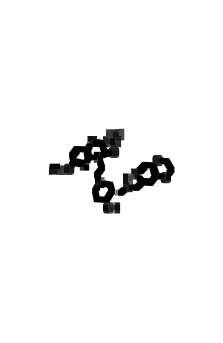 COc1ccc2ncc(=O)n(CCN3CC[C@@H](O)[C@@H](CNCc4cc5c(cn4)OCCO5)C3)c2n1.Cl.Cl